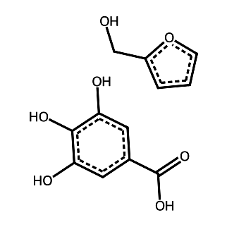 O=C(O)c1cc(O)c(O)c(O)c1.OCc1ccco1